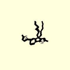 CCCCCCC1(CCCCCC)c2cc(-c3ccc(C)s3)ccc2-c2sc(C)cc21